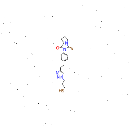 O=C1C2CCCN2C(=S)N1c1ccc(CCc2cn(CCCS)nn2)cc1